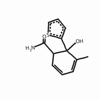 CC1=CC=CC(C(N)=O)C1(O)c1cccs1